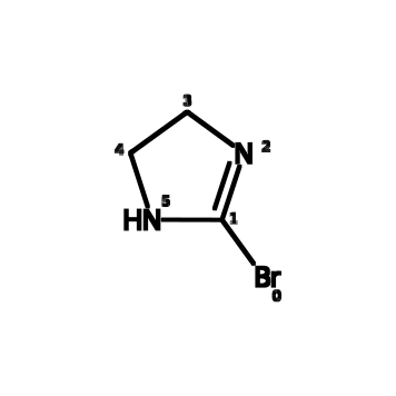 BrC1=NCCN1